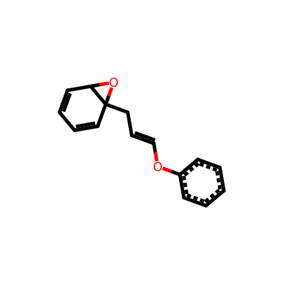 C1=CC2OC2(CC=COc2ccccc2)C=C1